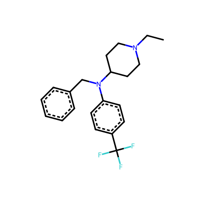 CCN1CCC(N(Cc2ccccc2)c2ccc(C(F)(F)F)cc2)CC1